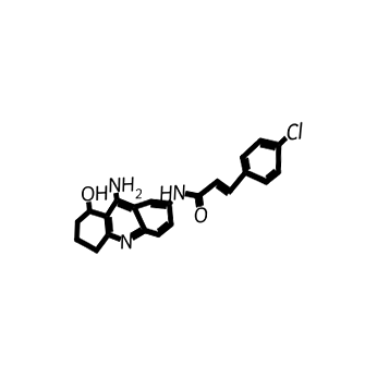 Nc1c2c(nc3ccc(NC(=O)C=Cc4ccc(Cl)cc4)cc13)CCCC2O